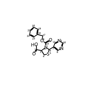 O=C(O)C1CSC(c2cncnc2)N1C(=O)OCc1ccccc1